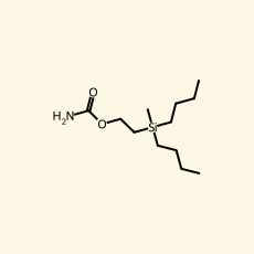 CCCC[Si](C)(CCCC)CCOC(N)=O